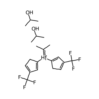 CC(C)O.CC(C)O.C[C](C)=[Hf]([C]1=CC(C(F)(F)F)=CC1)[C]1=CC(C(F)(F)F)=CC1